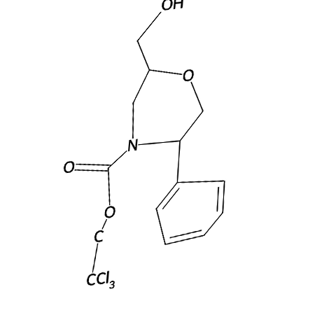 O=C(OCC(Cl)(Cl)Cl)N1CC(CO)OCC1c1ccccc1